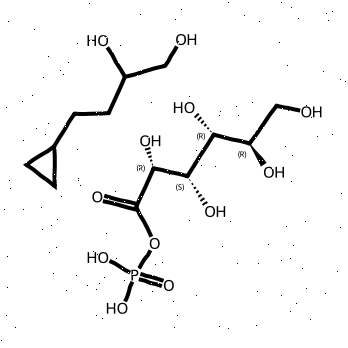 O=C(OP(=O)(O)O)[C@H](O)[C@@H](O)[C@H](O)[C@H](O)CO.OCC(O)CCC1CC1